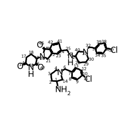 NC1CCCN(Cc2ccc(Cl)cc2)C1.O=C1CCC(N2Cc3cc(CNC4CCCN(Cc5ccc(Cl)cc5)C4)ccc3C2=O)C(=O)N1